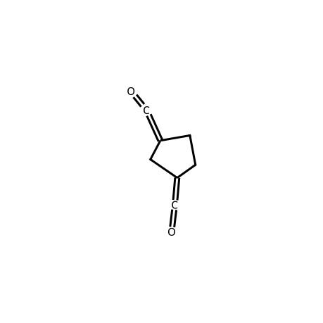 O=C=C1CCC(=C=O)C1